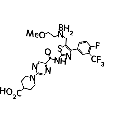 BN(CCOC)Cc1sc(NC(=O)c2cnc(N3CCC(C(=O)O)CC3)cn2)nc1-c1ccc(F)c(C(F)(F)F)c1